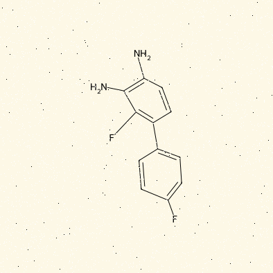 Nc1ccc(-c2ccc(F)cc2)c(F)c1N